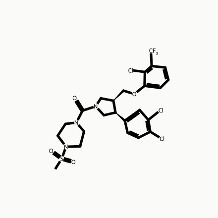 CS(=O)(=O)N1CCN(C(=O)N2C[C@@H](COc3cccc(C(F)(F)F)c3Cl)[C@@H](c3ccc(Cl)c(Cl)c3)C2)CC1